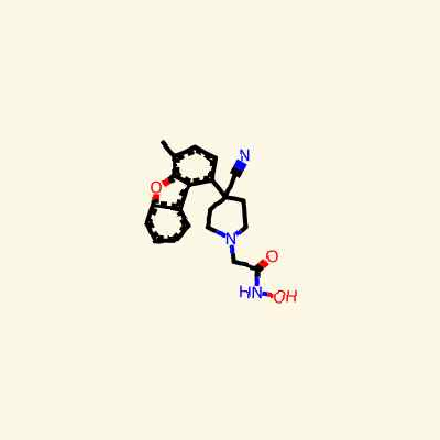 Cc1ccc(C2(C#N)CCN(CC(=O)NO)CC2)c2c1oc1ccccc12